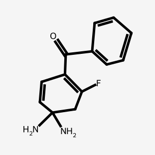 NC1(N)C=CC(C(=O)c2ccccc2)=C(F)C1